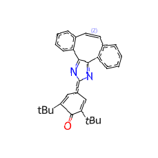 CC(C)(C)C1=CC(=C2N=C3C(=N2)c2ccccc2/C=C\c2ccccc23)C=C(C(C)(C)C)C1=O